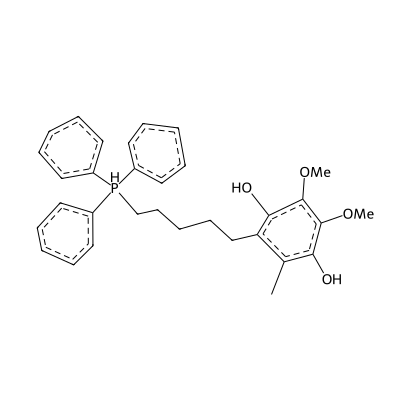 COc1c(O)c(C)c(CCCCC[PH](c2ccccc2)(c2ccccc2)c2ccccc2)c(O)c1OC